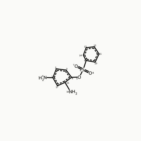 Nc1ccc(OS(=O)(=O)c2ccccc2)c(N)c1